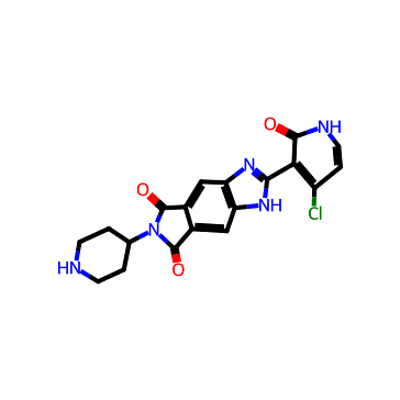 O=C1c2cc3nc(-c4c(Cl)cc[nH]c4=O)[nH]c3cc2C(=O)N1C1CCNCC1